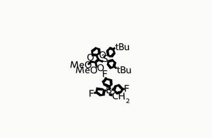 C=C[B-](c1ccc(F)cc1)(c1ccc(F)cc1)c1ccc(F)cc1.COC(=O)C(C(=O)OC)=C(C[S+](=O)(c1ccc(C(C)(C)C)cc1)c1ccc(C(C)(C)C)cc1)c1ccccc1